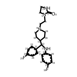 O=C1NCCN1CCN1CCC(C(Nc2ccc(F)cc2)c2ccc(F)cc2)CC1